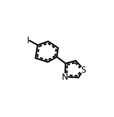 Ic1ccc(-c2cscn2)cc1